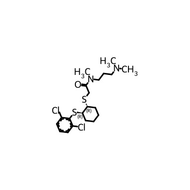 CN(C)CCCN(C)C(=O)CS[C@@H]1CCCC[C@H]1Sc1c(Cl)cccc1Cl